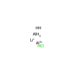 Cl.[Al+3].[AlH3].[HH].[Li+]